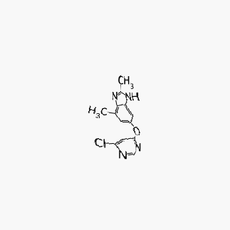 Cc1nc2c(C)cc(Oc3cc(Cl)ncn3)cc2[nH]1